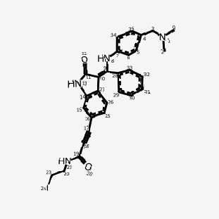 CN(C)Cc1ccc(N/C(=C2\C(=O)Nc3cc(C#CC(=O)NCCI)ccc32)c2ccccc2)cc1